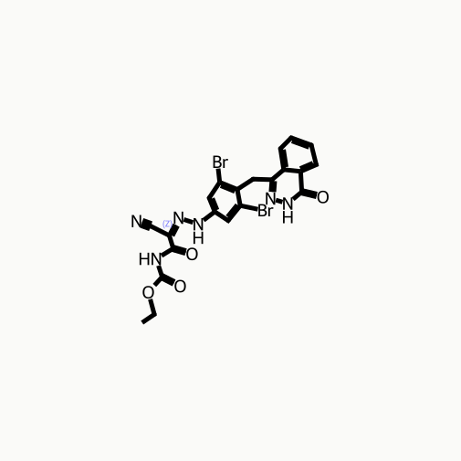 CCOC(=O)NC(=O)/C(C#N)=N\Nc1cc(Br)c(Cc2n[nH]c(=O)c3ccccc23)c(Br)c1